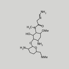 CNCC1CCC(N)C(OC2C(N)CC(OC)C(N(C)C(=O)CN=CN)C2O)O1